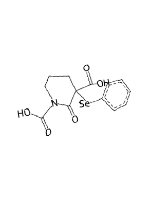 O=C(O)N1CCCC([Se]c2ccccc2)(C(=O)O)C1=O